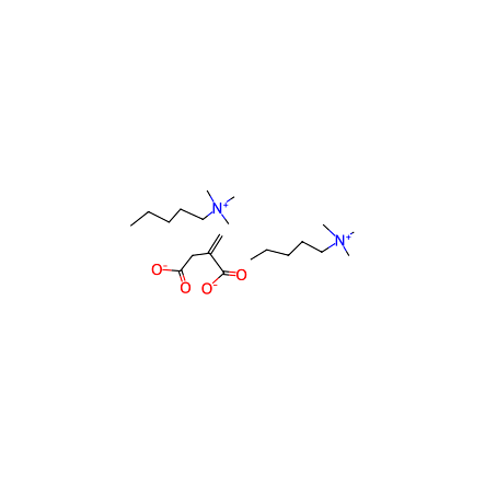 C=C(CC(=O)[O-])C(=O)[O-].CCCCC[N+](C)(C)C.CCCCC[N+](C)(C)C